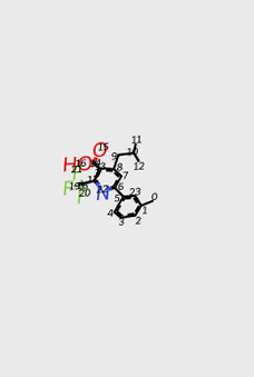 Cc1cccc(-c2cc(CC(C)C)c(C(=O)O)c(C(F)(F)F)n2)c1